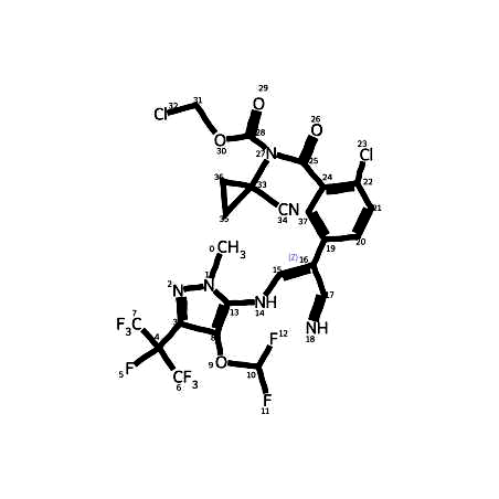 Cn1nc(C(F)(C(F)(F)F)C(F)(F)F)c(OC(F)F)c1N/C=C(\C=N)c1ccc(Cl)c(C(=O)N(C(=O)OCCl)C2(C#N)CC2)c1